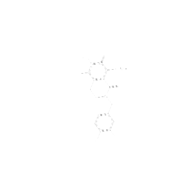 COc1c2c(c(C(=O)O)n(C)c1=O)CCN(Cc1ccc(F)c(Cl)c1)C2=O